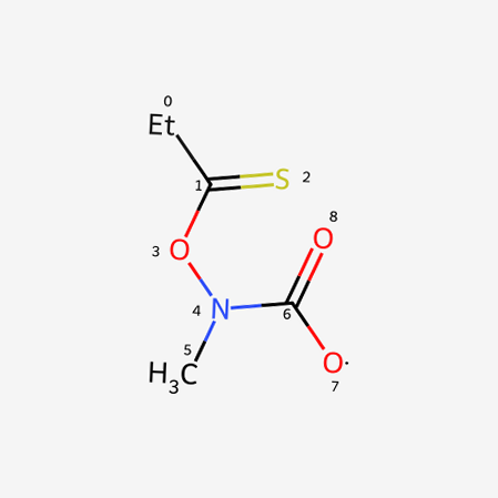 CCC(=S)ON(C)C([O])=O